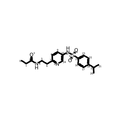 CCC(=O)NCCc1ccc(NS(=O)(=O)c2ccc(C(C)C)cc2)cn1